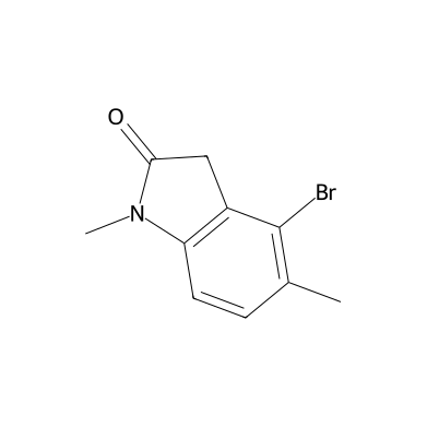 Cc1ccc2c(c1Br)CC(=O)N2C